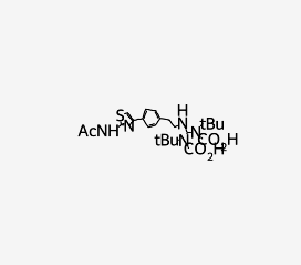 CC(=O)Nc1nc(-c2ccc(CCNC(N(C(=O)O)C(C)(C)C)N(C(=O)O)C(C)(C)C)cc2)cs1